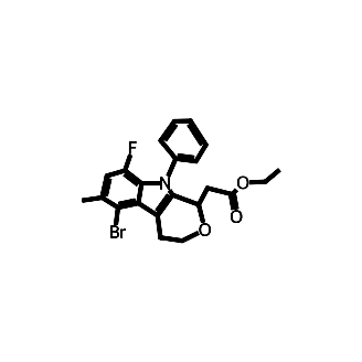 CCOC(=O)CC1OCCc2c1n(-c1ccccc1)c1c(F)cc(C)c(Br)c21